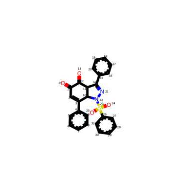 O=C1C=C(c2ccccc2)C2C(C1=O)C(c1ccccc1)=NN2S(=O)(=O)c1ccccc1